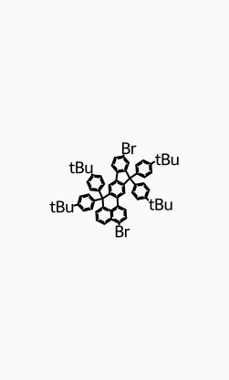 CC(C)(C)c1ccc(C2(c3ccc(C(C)(C)C)cc3)c3cc(Br)ccc3-c3cc4c(cc32)-c2ccc(Br)c3cccc(c23)C4(c2ccc(C(C)(C)C)cc2)c2ccc(C(C)(C)C)cc2)cc1